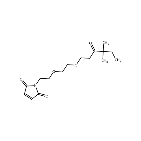 CCC(C)(C)C(=O)CCOCCOCCN1C(=O)C=CC1=O